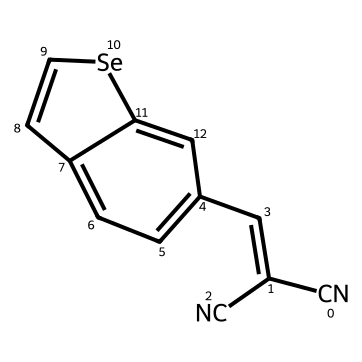 N#CC(C#N)=Cc1ccc2cc[se]c2c1